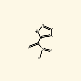 C=C(c1ccn[nH]1)[N+](=C)C